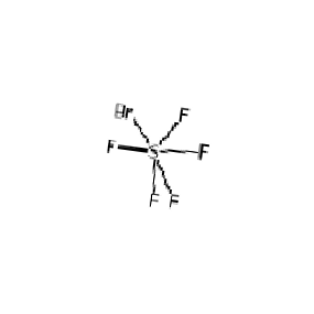 FS(F)(F)(F)(F)Br